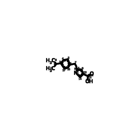 CC(C)c1ccc(Cn2cc(C(=O)O)cn2)cc1